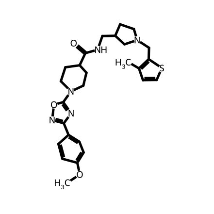 COc1ccc(-c2noc(N3CCC(C(=O)NCC4CCN(Cc5sccc5C)C4)CC3)n2)cc1